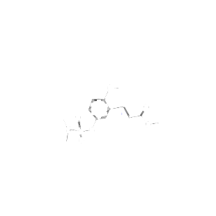 COC(=O)/C=C/c1cc(OS(=O)(=O)N(C)C)ccc1O